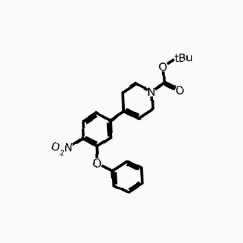 CC(C)(C)OC(=O)N1CC=C(c2ccc([N+](=O)[O-])c(Oc3ccccc3)c2)CC1